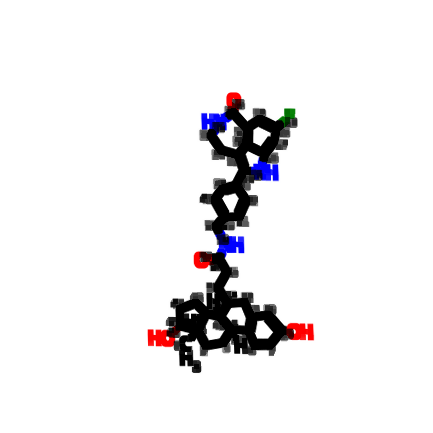 C[C@]12CC[C@@H]3c4ccc(O)cc4CC(CCC(=O)NCc4ccc(-c5[nH]c6cc(F)cc7c6c5CCNC7=O)cc4)[C@H]3[C@@H]1CC[C@@H]2O